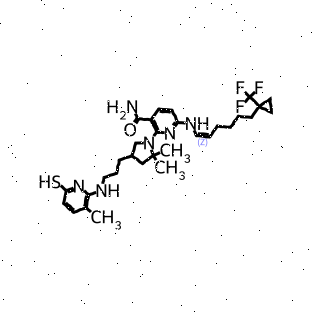 Cc1ccc(S)nc1NCCCC1CN(c2nc(N/C=C\CCCCC3(C(F)(F)F)CC3)ccc2C(N)=O)C(C)(C)C1